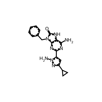 Nc1nc(-c2cc(C3CC3)nn2N)nc2c1[nH]c(=O)n2Cc1ccccc1